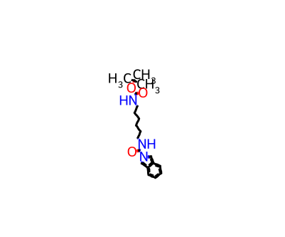 CC(C)(C)OC(=O)NCCCCCCNC(=O)n1cc2ccccc2c1